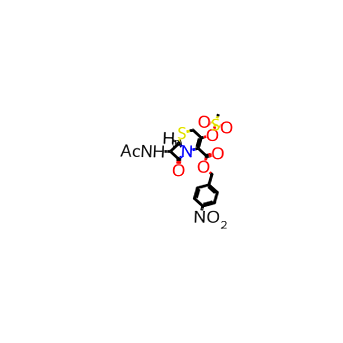 CC(=O)NC1C(=O)N2C(C(=O)OCc3ccc([N+](=O)[O-])cc3)=C(OS(C)(=O)=O)CS[C@H]12